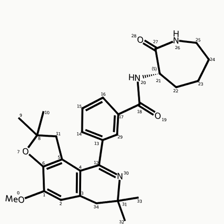 COc1cc2c(c3c1OC(C)(C)C3)C(c1cccc(C(=O)N[C@H]3CCCCNC3=O)c1)=NC(C)(C)C2